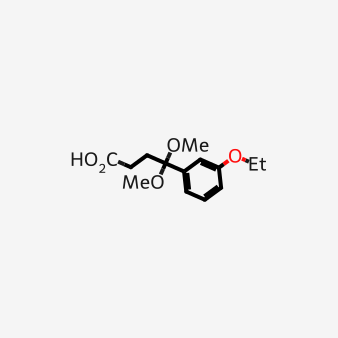 CCOc1cccc(C(CCC(=O)O)(OC)OC)c1